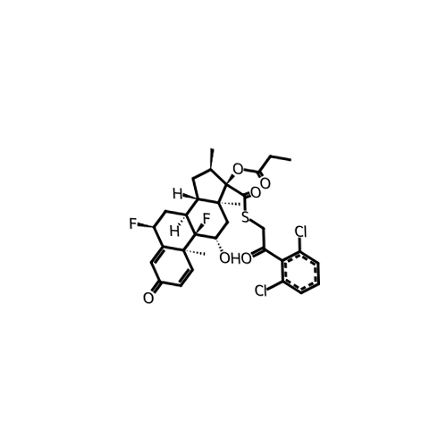 CCC(=O)O[C@]1(C(=O)SCC(=O)c2c(Cl)cccc2Cl)[C@H](C)C[C@H]2[C@@H]3C[C@H](F)C4=CC(=O)C=C[C@]4(C)[C@@]3(F)[C@@H](O)C[C@@]21C